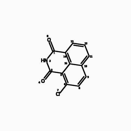 O=C1NC(=O)c2c(Cl)ccc3cccc1c23